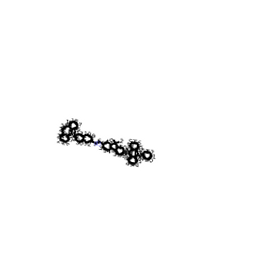 CC1(C)c2cc(/C=C/c3ccc4cc(N5c6ccccc6C=Cc6ccccc65)ccc4c3)ccc2-c2ccc(N3c4ccccc4N(c4ccccc4)c4ccccc43)cc21